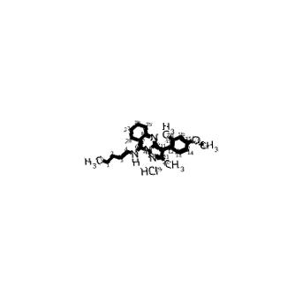 CCCCCNc1c2c(nc3c(-c4ccc(OC)cc4C)c(C)nn13)CCCC2.Cl